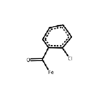 O=[C]([Fe])c1ccccc1Cl